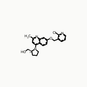 Cc1cc(N2CCC[C@H]2CO)c2ccc(OCc3cccnc3Cl)cc2n1